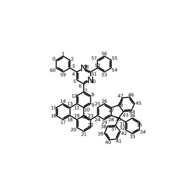 c1ccc(-c2cc(-c3ccc4c(c3)c3ccccc3c3cccc(-c5ccc6c(c5)C(c5ccccc5)(c5ccccc5)c5ccccc5-6)c34)nc(-c3ccccc3)n2)cc1